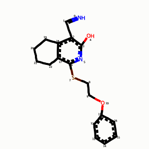 N=Cc1c(O)nc(SCCOc2ccccc2)c2c1CCCC2